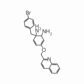 NC1C=C(OCc2ccc3ccccc3n2)C=CC1(N)Cc1ccc(Br)cc1